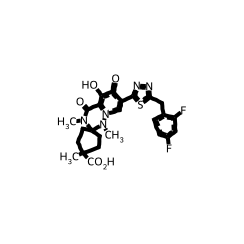 CN1C(=O)c2c(O)c(=O)c(-c3nnc(Cc4ccc(F)cc4F)s3)cn2N(C)C12CCC(C)(C(=O)O)CC2